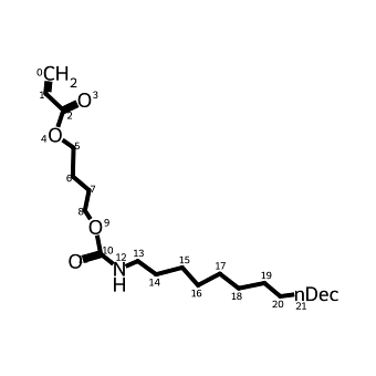 C=CC(=O)OCCCCOC(=O)NCCCCCCCCCCCCCCCCCC